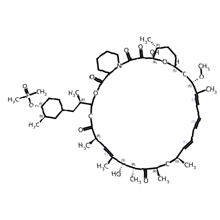 CO[C@H]1C[C@@H]2CC[C@@H](C)[C@@](O)(O2)C(=O)C(=O)N2CCCCC2C(=O)OC([C@H](C)CC2CC[C@@H](OP(C)(C)=O)[C@H](C)C2)CC(=O)[C@H](C)/C=C(\C)[C@@H](O)[C@@H](C)C(=O)[C@H](C)C[C@H](C)/C=C/C=C/C=C/1C